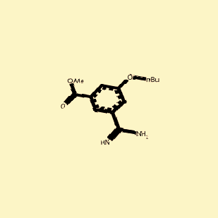 CCCCOc1cc(C(=N)N)cc(C(=O)OC)c1